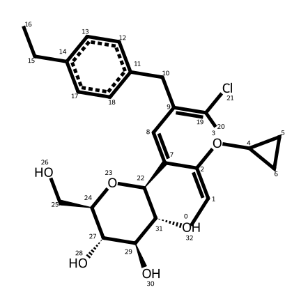 C\C=C(OC1CC1)/C(=C\C(Cc1ccc(CC)cc1)=C(/C)Cl)[C@@H]1O[C@H](CO)[C@@H](O)[C@H](O)[C@H]1O